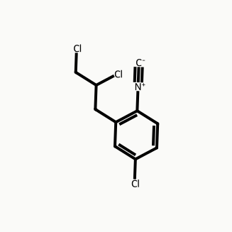 [C-]#[N+]c1ccc(Cl)cc1CC(Cl)CCl